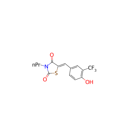 CCCN1C(=O)S/C(=C\c2ccc(O)c(C(F)(F)F)c2)C1=O